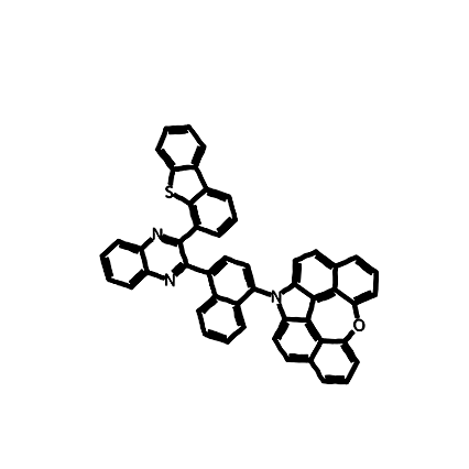 c1ccc2nc(-c3cccc4c3sc3ccccc34)c(-c3ccc(-n4c5ccc6cccc7oc8cccc9ccc4c(c98)c5c67)c4ccccc34)nc2c1